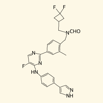 Cc1cc(-c2ncc(F)c(Nc3ccc(-c4cn[nH]c4)cc3)n2)ccc1CN(C=O)CC1CC(F)(F)C1